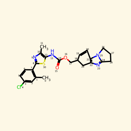 Cc1cc(Cl)ccc1-c1nc(C)c(NC(=O)OCC2C=Cc3c(nc4n3CCC4)C2)s1